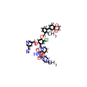 Cc1c(COc2cc(OCc3cncc(C#N)c3)c(CN3CCCC[C@H]3C(=O)NS(=O)(=O)N3CCN(C)CC3)cc2Cl)cccc1-c1ccc2c(c1)OCCO2